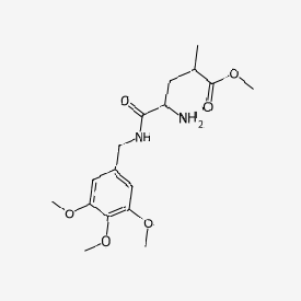 COC(=O)C(C)CC(N)C(=O)NCc1cc(OC)c(OC)c(OC)c1